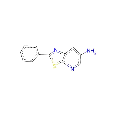 Nc1cnc2sc(-c3ccccc3)nc2c1